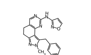 Cn1nc2c(c1Cc1ccccc1)-c1nc(Nc3ccon3)ncc1CC2